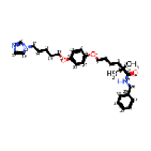 CC(C)(CCCCOc1ccc(OCCCCCn2ccnc2)cc1)C(=O)NCc1ccccc1